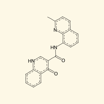 Cc1ccc2cccc(NC(=O)c3c[nH]c4ccccc4c3=O)c2n1